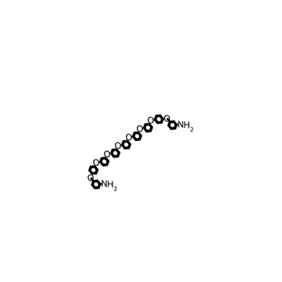 Nc1cccc(Oc2ccc(Oc3cccc(Oc4cccc(Oc5cccc(Oc6cccc(Oc7cccc(Oc8ccc(Oc9cccc(N)c9)cc8)c7)c6)c5)c4)c3)cc2)c1